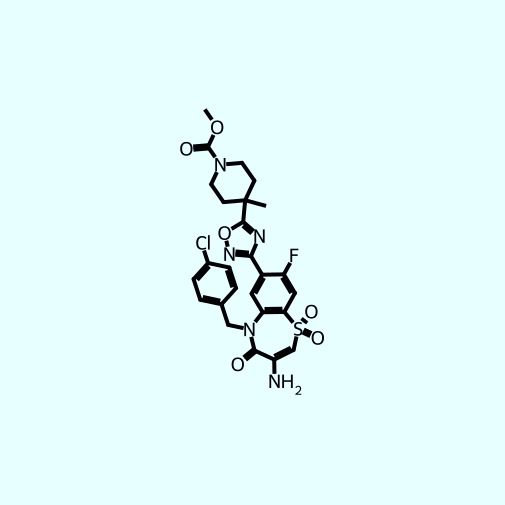 COC(=O)N1CCC(C)(c2nc(-c3cc4c(cc3F)S(=O)(=O)C=C(N)C(=O)N4Cc3ccc(Cl)cc3)no2)CC1